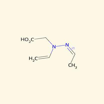 C=CN(CC(=O)O)/N=C\C